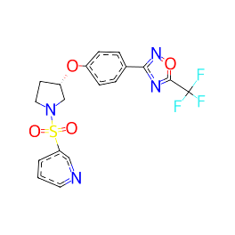 O=S(=O)(c1cccnc1)N1CC[C@H](Oc2ccc(-c3noc(C(F)(F)F)n3)cc2)C1